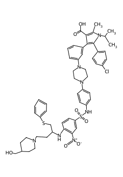 Cc1c(C(=O)O)c(-c2cccc(N3CCN(c4ccc(NS(=O)(=O)c5ccc(NC(CCN6CCC(CO)CC6)CSc6ccccc6)c([N+](=O)[O-])c5)cc4)CC3)c2)c(-c2ccc(Cl)cc2)n1C(C)C